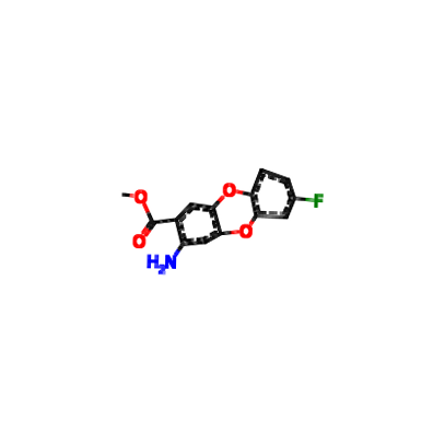 COC(=O)c1cc2c(cc1N)Oc1cc(F)ccc1O2